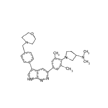 Cc1cc(-c2cc3c(-c4ccc(CN5CCOCC5)cc4)c[nH]c3nn2)cc(C)c1N1CCC(N(C)C)C1